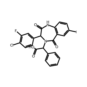 O=C(O)C(c1ccccc1)N1C(=O)c2cc(I)ccc2NC(=O)C1c1ccc(Cl)c(F)c1